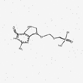 Nc1nc2c(c(=O)[nH]1)NCN2OCOCP(=O)(O)O